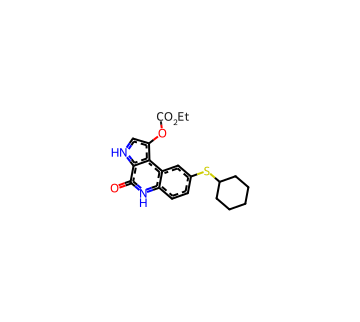 CCOC(=O)Oc1c[nH]c2c(=O)[nH]c3ccc(SC4CCCCC4)cc3c12